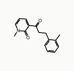 Cc1ccccc1CCC(=O)c1cccn(C)c1=O